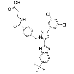 O=C(O)CCNC(=O)c1ccc(Cn2nc(-c3cc(Cl)cc(Cl)c3)cc2-c2nc3cc(C(F)(F)F)ccc3s2)cc1